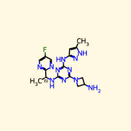 Cc1cc(Nc2nc(N[C@@H](C)c3ncc(F)cn3)nc(N3CC(N)C3)n2)n[nH]1